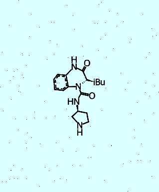 CC[C@H](C)[C@H]1C(=O)Nc2ccccc2N1C(=O)N[C@H]1CCNC1